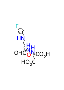 O=C[C@H](CCCCNCc1ccc(F)cc1)NC(=O)N[C@@H](CCC(=O)O)C(=O)O